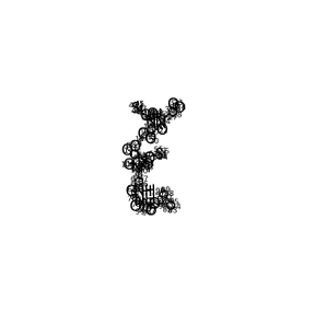 COc1cc2c(cc1OCCCOc1cc3c(cc1OC)C(=O)N1C=C(c4ccc5c(c4)OCO5)C[C@H]1C(=O)N3COCC[Si](C)(C)C)N(COCC[Si](C)(C)C)C(=O)[C@@H]1CC(c3ccc(NC(=O)[C@H](C)NC(=O)[C@@H](NC(=O)OCC4c5ccccc5-c5ccccc54)C(C)C)cc3)=CN1C2=O